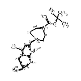 CC(C)(C)OC(=O)N1CCN(c2cc(Cl)c3cc(Br)cnc3n2)CC1